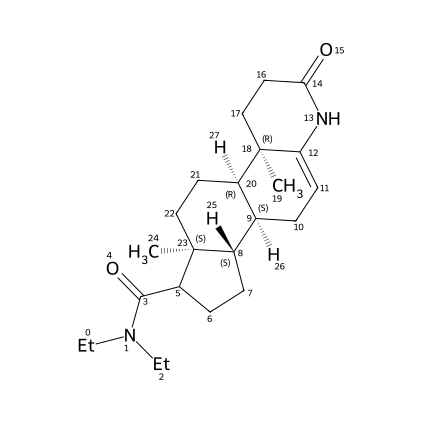 CCN(CC)C(=O)C1CC[C@H]2[C@@H]3CC=C4NC(=O)CC[C@]4(C)[C@@H]3CC[C@]12C